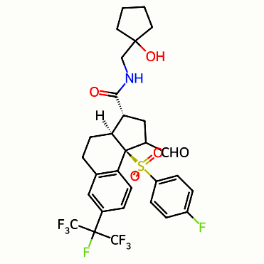 O=CC1C[C@@H](C(=O)NCC2(O)CCCC2)[C@@H]2CCc3cc(C(F)(C(F)(F)F)C(F)(F)F)ccc3[C@@]12S(=O)(=O)c1ccc(F)cc1